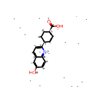 O=C(O)[C@H]1CC[C@@H](c2ccc3cc(O)ccc3n2)CC1